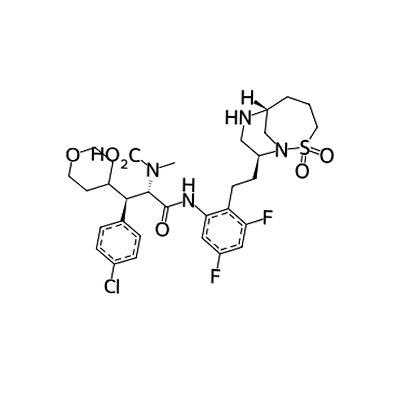 CN(C(=O)O)[C@H](C(=O)Nc1cc(F)cc(F)c1CC[C@H]1CN[C@@H]2CCCS(=O)(=O)N1C2)[C@@H](c1ccc(Cl)cc1)C1CCOCC1